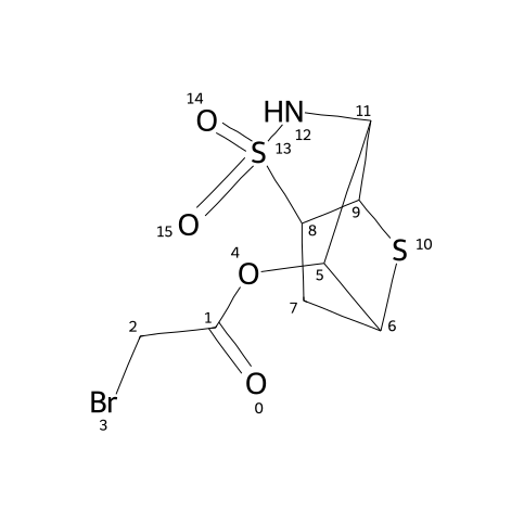 O=C(CBr)OC1C2CC3C(S2)C1NS3(=O)=O